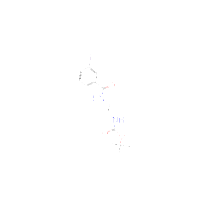 CC(C)(C)OC(=O)NCCNC(=O)c1cccc(I)c1